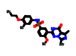 CCCc1nc(C)c2c(=O)[nH]c(-c3cc(S(=O)(=O)Nc4ccc(OCCC(C)C)c(CC)c4)ccc3OCC)nn12